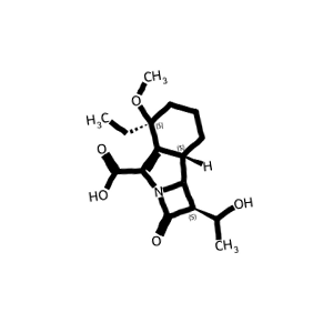 CC[C@]1(OC)CCC[C@H]2C1=C(C(=O)O)N1C(=O)[C@H](C(C)O)C21